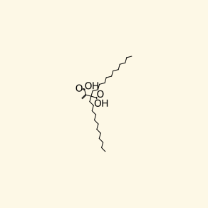 C=C(C(=O)O)C(CCCCCCCCCCCC)(CCCCCCCCCCCC)C(=O)O